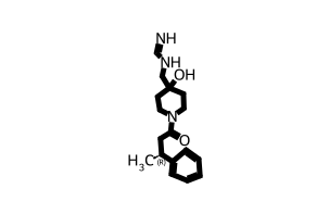 C[C@H](CC(=O)N1CCC(O)(CNC=N)CC1)c1ccccc1